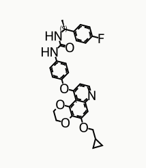 C[C@H](NC(=O)Nc1ccc(Oc2ccnc3cc(OCC4CC4)c4c(c23)OCCO4)cc1)c1ccc(F)cc1